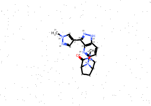 CN1CC2CCC(C1=O)N2c1ccc2[nH]nc(-c3cnn(C)c3)c2n1